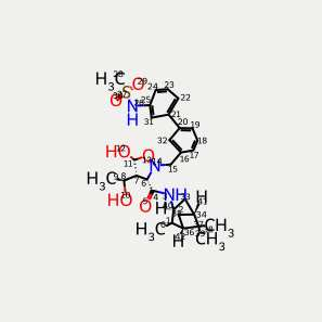 CC1[C@@H](NC(=O)[C@@H]2[C@H]([C@H](C)O)C(O)ON2Cc2cccc(-c3cccc(NS(C)(=O)=O)c3)c2)C[C@H]2C[C@@H]1C2(C)C